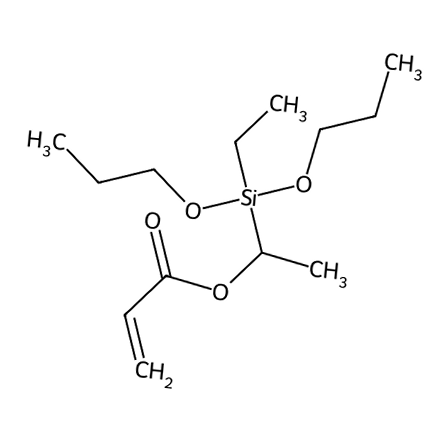 C=CC(=O)OC(C)[Si](CC)(OCCC)OCCC